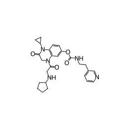 O=C(NCCc1cccnc1)Oc1ccc2c(c1)N(C(=O)CNC1CCCC1)CC(=O)N2C1CC1